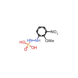 COc1c(NNP(=O)(O)O)cccc1[N+](=O)[O-]